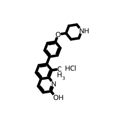 Cc1c(-c2ccc(OC3CCNCC3)cc2)ccc2ccc(O)nc12.Cl